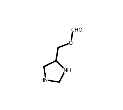 O=COCC1CNCN1